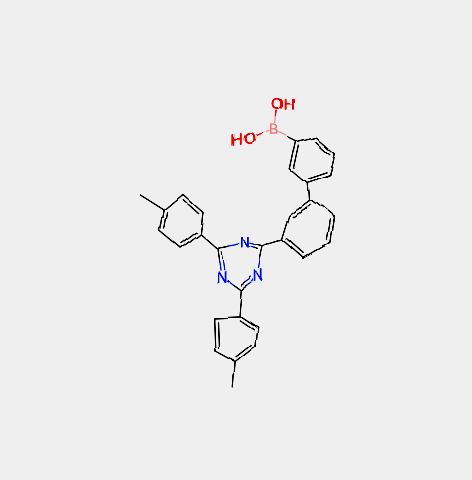 Cc1ccc(-c2nc(-c3ccc(C)cc3)nc(-c3cccc(-c4cccc(B(O)O)c4)c3)n2)cc1